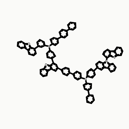 c1ccc(-c2ccc(-c3ccc(N(c4ccc(-c5cc(-c6ccc(-c7ccc(N(c8ccc(-c9ccccc9)cc8)c8ccc(-c9ccc%10c(c9)c9ccccc9n%10-c9cccc%10c9sc9ccccc9%10)cc8)cc7)cc6)cc6c5oc5ccccc56)cc4)c4cccc(-c5cccc6c5oc5ccccc56)c4)cc3)cc2)cc1